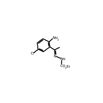 CCOC(=O)N/N=C(\C)c1cc(Cl)ccc1N